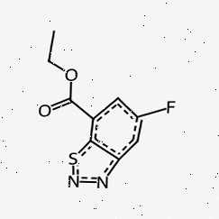 CCOC(=O)c1cc(F)cc2nnsc12